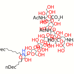 CCCCCCCCCCCCC/C=C/[C@@H](O)[C@H](CO[C@@H]1OC(CO)[C@@H](O[C@@H]2OC(CO)[C@H](O[C@@H]3OC(CO)[C@H](O)[C@H](O[C@@H]4OC(CO[C@]5(C(=O)O)CC(O)[C@@H](NC(C)=O)C([C@H](O)[C@H](O)CO)O5)[C@H](O)[C@H](O[C@@H]5OC(CO)[C@H](O)[C@H](O[C@]6(C(=O)O)CC(O)[C@@H](NC(C)=O)C([C@H](O)[C@H](O)CO)O6)C5O)C4NC(C)=O)C3O)[C@H](O)C2O)[C@H](O)C1O)NC(=O)CCCCCCCCCCCCCCCCC